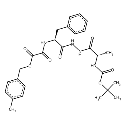 Cc1ccc(COC(=O)C(=O)N[C@@H](Cc2ccccc2)C(=O)NNC(=O)[C@H](C)NC(=O)OC(C)(C)C)cc1